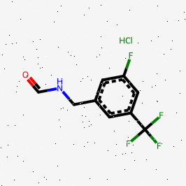 Cl.O=CNCc1cc(F)cc(C(F)(F)F)c1